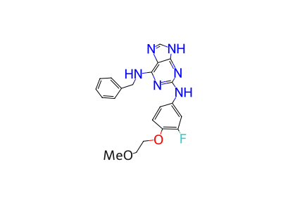 COCCOc1ccc(Nc2nc(NCc3ccccc3)c3nc[nH]c3n2)cc1F